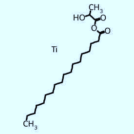 CCCCCCCCCCCCCCCCCC(=O)OC(=O)C(C)O.[Ti]